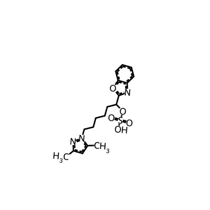 Cc1cc(C)n(CCCCCC(OS(=O)(=O)O)c2nc3ccccc3o2)n1